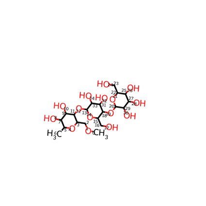 COCC1OC(C)C(O)C(O)C1OC1OC(CO)C(OC2OC(CO)C(O)C(O)C2O)C(O)C1O